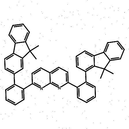 CC1(C)c2ccccc2-c2ccc(-c3ccccc3-c3ccc4ccc(-c5ccccc5-c5cccc6c5C(C)(C)c5ccccc5-6)nc4n3)cc21